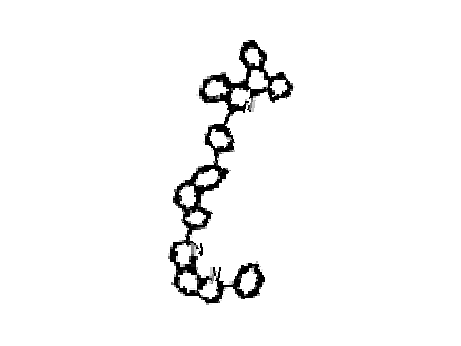 c1ccc(-c2ccc3ccc4ccc(-c5ccc6c(ccc7cc(-c8ccc(-c9nc%10c%11ccccc%11c%11ccccc%11c%10c%10ccccc9%10)cc8)ccc76)c5)nc4c3n2)cc1